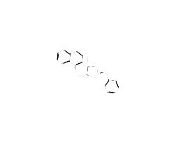 Cl.c1ccc(CN2C[C@@H]3COc4c(ccc5ccccc45)[C@H]3C2)cc1